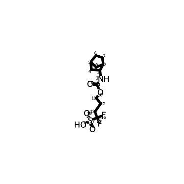 O=C(NC1CC2CCC1C2)OCCCC(F)(F)S(=O)(=O)O